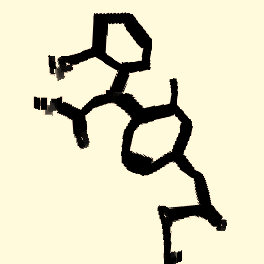 Cc1cc(CC(=O)OC(C)(C)C)ccc1N(C(N)=O)c1ccccc1C(F)(F)F